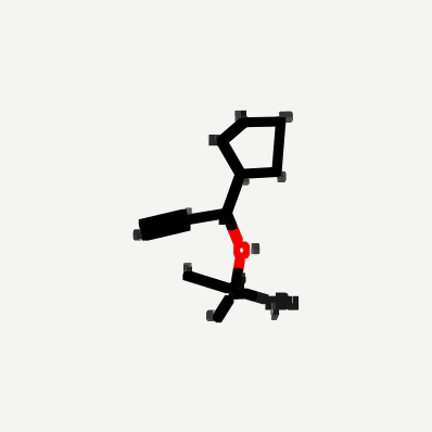 C#CC(O[Si](C)(C)CCCC)C1CCCC1